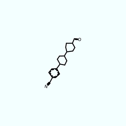 N#Cc1ccc(C2CCC(C3CCC(C=O)CC3)CC2)cc1